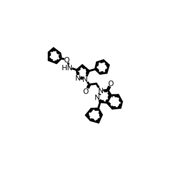 O=C(Cn1nc(-c2ccccc2)c2ccccc2c1=O)n1nc(NOc2ccccc2)cc1-c1ccccc1